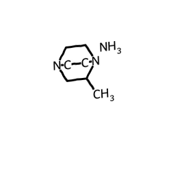 CC1CN2CCN1CC2.N